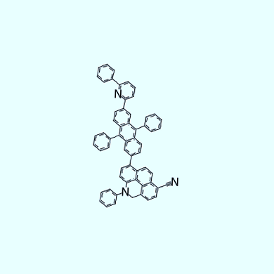 N#Cc1ccc2c3c1ccc1c(-c4ccc5c(-c6ccccc6)c6cc(-c7cccc(-c8ccccc8)n7)ccc6c(-c6ccccc6)c5c4)ccc(c13)N(c1ccccc1)C2